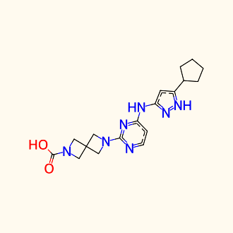 O=C(O)N1CC2(C1)CN(c1nccc(Nc3cc(C4CCCC4)[nH]n3)n1)C2